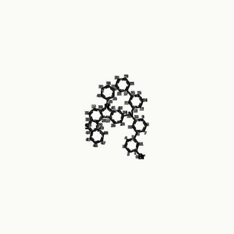 Brc1cccc(-c2cccc(N(c3cccc(-c4ccccc4)c3)c3ccc4c5c6c(ccc5n(-c5ccccc5)c4c3)sc3ccccc36)c2)c1